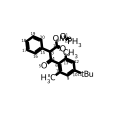 COC(=O)C(C(=O)c1c(C)cc(C(C)(C)C)cc1C)c1ccccc1.O=[PH3]